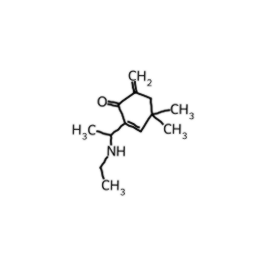 C=C1CC(C)(C)C=C(C(C)NCC)C1=O